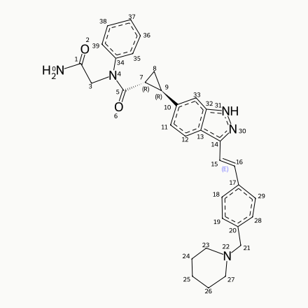 NC(=O)CN(C(=O)[C@@H]1C[C@H]1c1ccc2c(/C=C/c3ccc(CN4CCCCC4)cc3)n[nH]c2c1)c1ccccc1